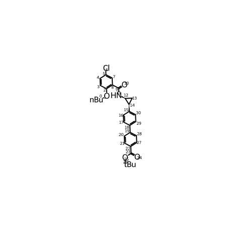 CCCCOc1ccc(Cl)cc1C(=O)N[C@H]1C[C@H]1c1ccc(-c2ccc(C(=O)OC(C)(C)C)cc2)cc1